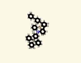 c1ccc(-c2ccc(-c3cccc4c3sc3c(N(c5ccccc5)c5ccc([Si](c6ccccc6)(c6ccccc6)c6ccccc6)cc5)cccc34)cc2)cc1